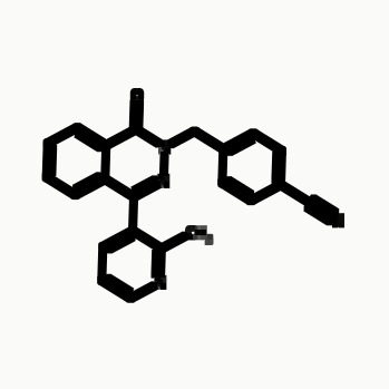 Cc1ncccc1-c1nn(Cc2ccc(C#N)cc2)c(=O)c2ccccc12